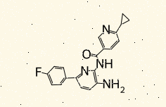 Nc1ccc(-c2ccc(F)cc2)nc1NC(=O)c1ccc(C2CC2)nc1